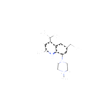 CCc1cc(N2CCN(C)CC2)c2nc(C)cc(C(C)C)c2c1